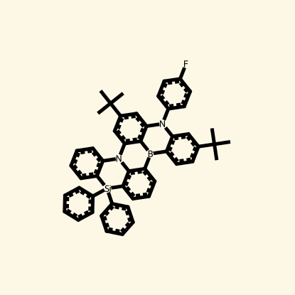 CC(C)(C)c1ccc2c(c1)N(c1ccc(F)cc1)c1cc(C(C)(C)C)cc3c1B2c1cccc2c1N3c1ccccc1[Si]2(c1ccccc1)c1ccccc1